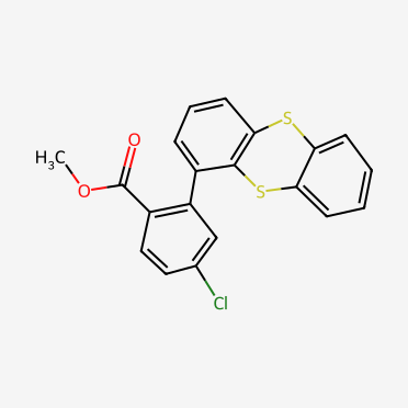 COC(=O)c1ccc(Cl)cc1-c1cccc2c1Sc1ccccc1S2